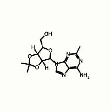 Cc1nc(N)c2ncn([C@@H]3O[C@H](CO)[C@H]4OC(C)(C)O[C@H]43)c2n1